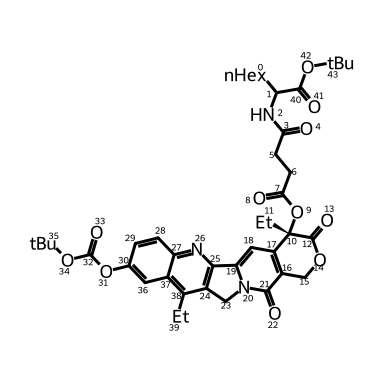 CCCCCCC(NC(=O)CCC(=O)O[C@]1(CC)C(=O)OCc2c1cc1n(c2=O)Cc2c-1nc1ccc(OC(=O)OC(C)(C)C)cc1c2CC)C(=O)OC(C)(C)C